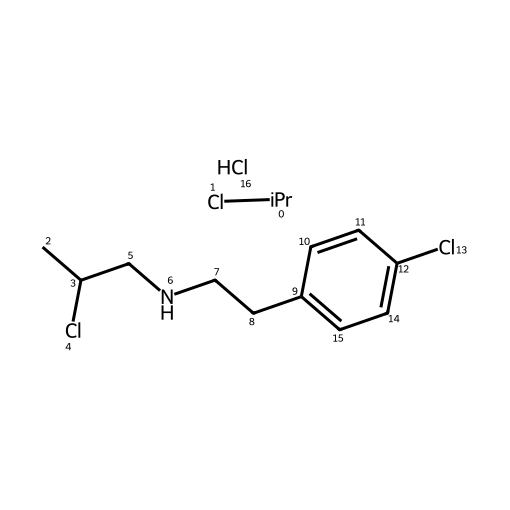 CC(C)Cl.CC(Cl)CNCCc1ccc(Cl)cc1.Cl